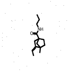 C/C=C1/CC2(C(=O)NCCC)CCC1(C)C2